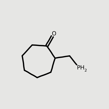 O=C1CCCCCC1CP